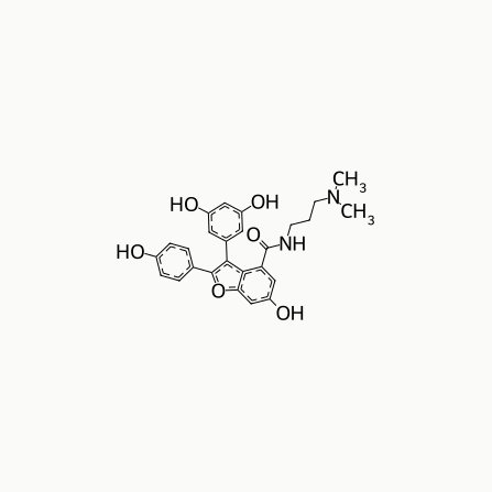 CN(C)CCCNC(=O)c1cc(O)cc2oc(-c3ccc(O)cc3)c(-c3cc(O)cc(O)c3)c12